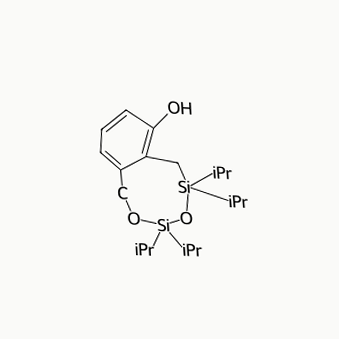 CC(C)[Si]1(C(C)C)Cc2c(O)cccc2CO[Si](C(C)C)(C(C)C)O1